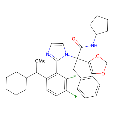 COC(c1ccc(F)c(F)c1-c1nccn1C(Cc1ccccc1)(C(=O)NC1CCCC1)C1=COCO1)C1CCCCC1